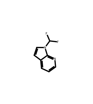 FC(F)n1ccc2cccnc21